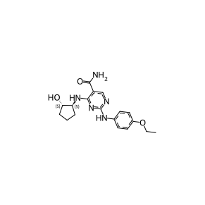 CCOc1ccc(Nc2ncc(C(N)=O)c(N[C@H]3CCC[C@@H]3O)n2)cc1